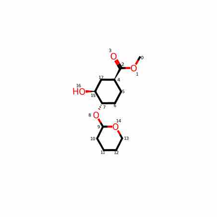 COC(=O)[C@H]1CC[C@H](OC2CCCCO2)[C@@H](O)C1